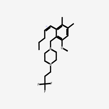 CCC/C=C\c1c(C)c(C)cc(OC)c1CN1CCN(CCC(F)(F)F)CC1